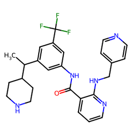 CC(c1cc(NC(=O)c2cccnc2NCc2ccncc2)cc(C(F)(F)F)c1)C1CCNCC1